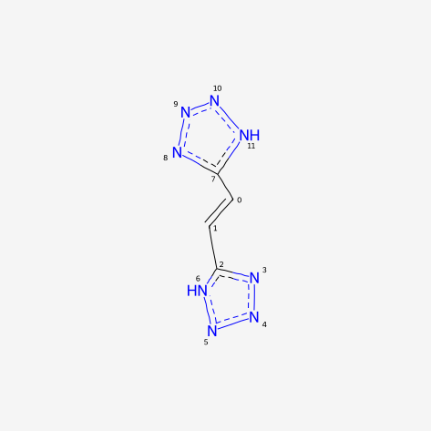 C(=Cc1nnn[nH]1)c1nnn[nH]1